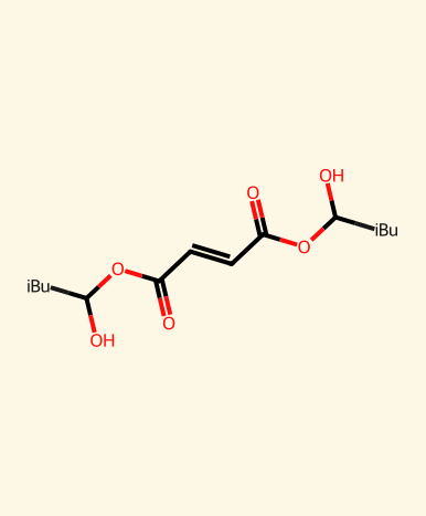 CCC(C)C(O)OC(=O)/C=C/C(=O)OC(O)C(C)CC